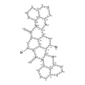 O=c1c2cc(Br)c3c(=O)n4c5cccc6cccc(nc4c4c(Br)cc(c2c34)c2nc3cccc4cccc(c43)n12)c65